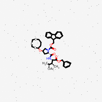 CC(=O)O[C@@H](C)[C@H](C)[C@H](NC(=O)[C@@H]1C[C@@H](OC2CCCCCCCC2)CN1C(=O)OCC1c2ccccc2-c2ccccc21)C(=O)OCc1ccccc1